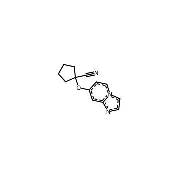 N#CC1(Oc2ccn3ccnc3c2)CCCC1